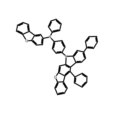 c1ccc(-c2ccc3c4c(-c5ccccc5)c5c(cc4n(-c4ccc(N(c6ccccc6)c6ccc7oc8ccccc8c7c6)cc4)c3c2)oc2ccccc25)cc1